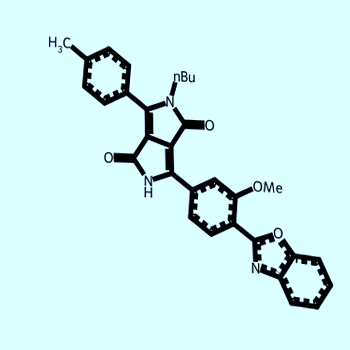 CCCCN1C(=O)C2=C(c3ccc(-c4nc5ccccc5o4)c(OC)c3)NC(=O)C2=C1c1ccc(C)cc1